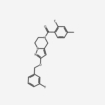 Cc1ccc(C(=O)N2CCn3nc(OCc4cccc(F)c4)cc3C2)c(F)c1